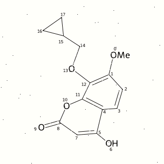 COc1ccc2c(O)cc(=O)oc2c1OCC1CC1